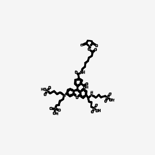 O=C(CCCCCCNC(=O)c1ccc(-c2c3ccc(=[N+](CCCCS(=O)(=O)O)CCCCS(=O)(=O)O)cc-3oc3cc(C(CCCS(=O)(=O)O)NCCCCS(=O)(=O)O)ccc23)c(C(=O)O)c1)ON1C(=O)CCC1=O